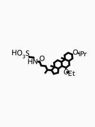 CCOC1CC2CC(OC(C)C)CCC2(C)C2CCC3(C)C(C(C)CCC(=O)NCCS(=O)(=O)O)CCC3C12